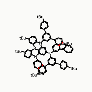 CC(C)(C)c1ccc(-c2cc(-c3ccc(C(C)(C)C)cc3)cc(N(c3cc4c5c(c3)N(c3cc(-c6ccc(C(C)(C)C)cc6)cc(-c6ccc(C(C)(C)C)cc6)c3)c3ccc(C(C)(C)C)cc3B5c3cc(C(C)(C)C)ccc3N4c3ccc(C(C)(C)C)cc3)c3ccc4oc5ccccc5c4c3)c2)cc1